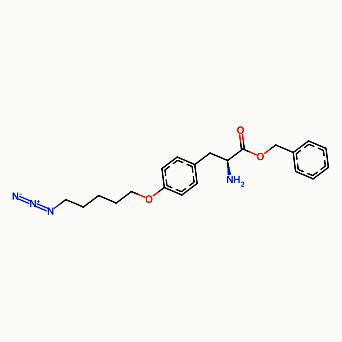 [N-]=[N+]=NCCCCCOc1ccc(C[C@H](N)C(=O)OCc2ccccc2)cc1